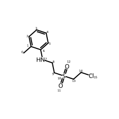 Cc1ccccc1NCCS(=O)(=O)CCCl